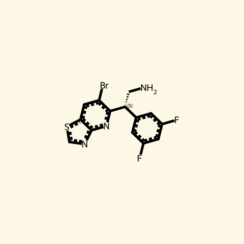 NC[C@H](c1cc(F)cc(F)c1)c1nc2ncsc2cc1Br